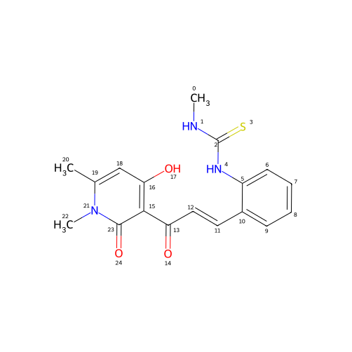 CNC(=S)Nc1ccccc1/C=C/C(=O)c1c(O)cc(C)n(C)c1=O